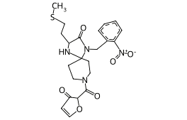 CSCCC1NC2(CCN(C(=O)C3OC=CC3=O)CC2)N(Cc2ccccc2[N+](=O)[O-])C1=O